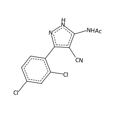 CC(=O)Nc1[nH]nc(-c2ccc(Cl)cc2Cl)c1C#N